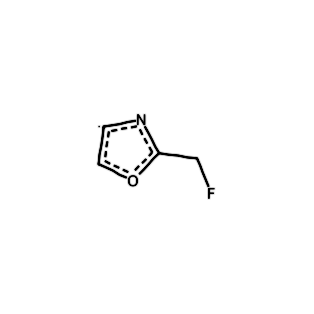 FCc1n[c]co1